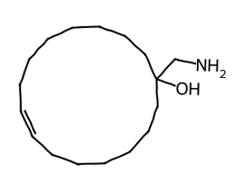 NCC1(O)CCCCCCC=CCCCCCCC1